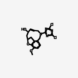 COc1ccc2c3c1OC(C3)C[C@@H](O)/C=C/CN(c1nc(Cl)nc(Cl)n1)C2